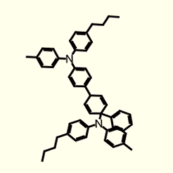 CCCCc1ccc(N(c2ccc(C)cc2)c2ccc(C3C=CC(c4ccccc4)(N(c4ccc(C)cc4)c4ccc(CCCC)cc4)C=C3)cc2)cc1